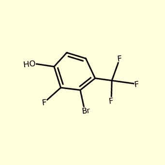 Oc1ccc(C(F)(F)F)c(Br)c1F